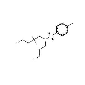 Cc1ccc(S(=O)(=O)N(CCCN)CC(F)(F)CCN)cc1